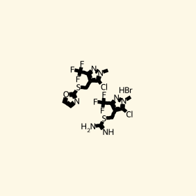 Br.Cn1nc(C(F)(F)F)c(CSC(=N)N)c1Cl.Cn1nc(C(F)(F)F)c(CSc2ncco2)c1Cl